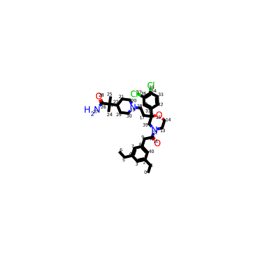 CCc1cc(CC)cc(CC(=O)N2CCOC(CCN3CCC(C(C)(C)C(N)=O)CC3)(c3ccc(Cl)c(Cl)c3)C2)c1